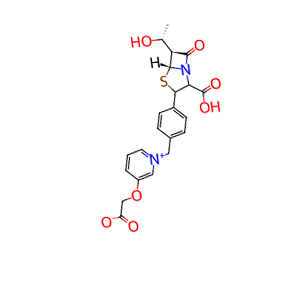 C[C@@H](O)[C@H]1C(=O)N2C(C(=O)O)C(c3ccc(C[n+]4cccc(OCC(=O)[O-])c4)cc3)S[C@H]12